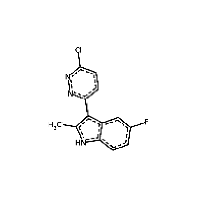 Cc1[nH]c2ccc(F)cc2c1-c1ccc(Cl)nn1